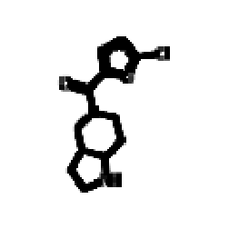 O=C(c1ccc(Cl)o1)N1CCC2NCCC2C1